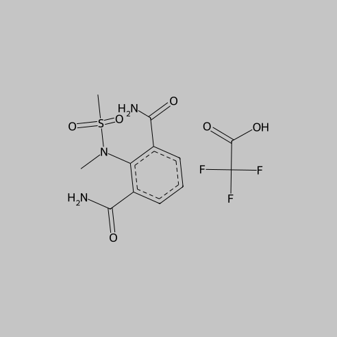 CN(c1c(C(N)=O)cccc1C(N)=O)S(C)(=O)=O.O=C(O)C(F)(F)F